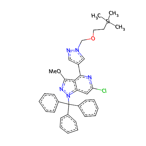 COc1nn(C(c2ccccc2)(c2ccccc2)c2ccccc2)c2cc(Cl)nc(-c3cnn(COCC[Si](C)(C)C)c3)c12